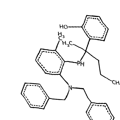 CCCC(C)(Pc1c(C)cccc1N(Cc1ccccc1)Cc1ccccc1)c1ccccc1O